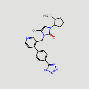 CCCCc1cn(C2CCCC2C(=O)O)c(=O)n1Cc1cnccc1-c1ccc(-c2nnn[nH]2)cc1